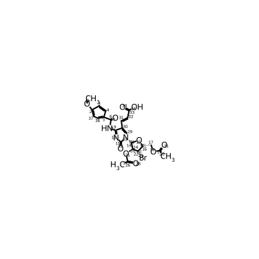 COc1ccc(C(=O)Nc2nc(=O)n([C@@H]3O[C@H](COC(C)=O)[C@H](Br)[C@H]3OC(C)=O)cc2C=CC(=O)O)cc1